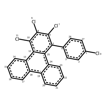 Clc1ccc(-c2c(Cl)c(Cl)c(Cl)c3c4ccccc4c4ccccc4c23)cc1